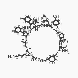 C[C@@]12CCCN1C(=O)[C@H](Cc1ccc(O)cc1)NC(=O)[C@H](Cc1cnc[nH]1)NC(=O)[C@H](CC(=O)O)NC(=O)[C@H](Cc1c[nH]c3ccc(F)cc13)NC(=O)[C@H](Cc1c[nH]c3ccc(F)cc13)NC(=O)CNC(=O)[C@H](CCCCCN)NC(=O)CCSCc1cccc(c1)CSC[C@@H](C(N)=O)NC2=O